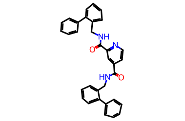 O=C(NCc1ccccc1-c1ccccc1)c1ccnc(C(=O)NCc2ccccc2-c2ccccc2)c1